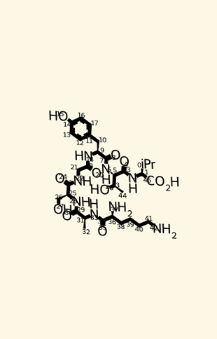 CC(C)[C@H](NC(=O)[C@@H](NC(=O)[C@H](Cc1ccc(O)cc1)NC(=O)CNC(=O)[C@H](CO)NC(=O)[C@H](C)NC(=O)[C@@H](N)CCCCN)[C@@H](C)O)C(=O)O